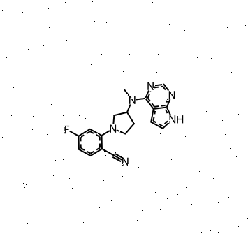 CN(c1ncnc2[nH]ccc12)C1CCN(c2cc(F)ccc2C#N)C1